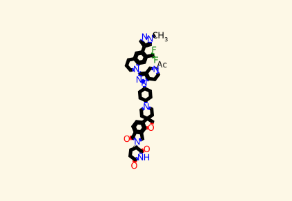 CC(=O)N1CCc2c(c(N3CCCc4cc(-c5cnn(C)c5)c(C(F)F)cc43)nn2C2CCC(N3CCC4(CC3)COc3c4ccc4c3CN([C@H]3CCC(=O)NC3=O)C4=O)CC2)C1